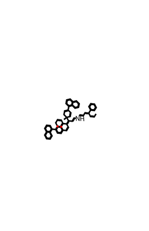 C\C=C/C(=C\C=C\N/C=C/C(=C(\C=C/c1ccc(-c2cccc3ccccc23)cc1)C1=CCCC=C1)C1(C)C=CC(c2cccc3ccccc23)=CC1)c1ccccc1